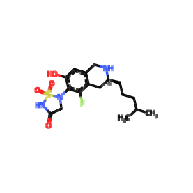 CC(C)CCC[C@H]1Cc2c(cc(O)c(N3CC(=O)NS3(=O)=O)c2F)CN1